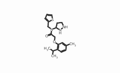 Cc1ccc(C(C)C)c(OCC(=O)N(Cc2cccs2)C2CCNN2)c1